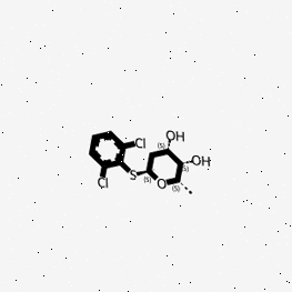 C[C@@H]1O[C@@H](Sc2c(Cl)cccc2Cl)C[C@H](O)[C@@H]1O